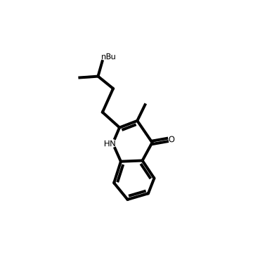 CCCCC(C)CCc1[nH]c2ccccc2c(=O)c1C